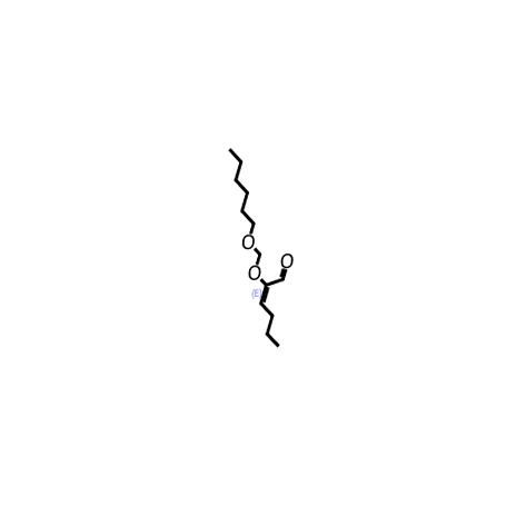 CCC/C=C(\C=O)OCOCCCCCC